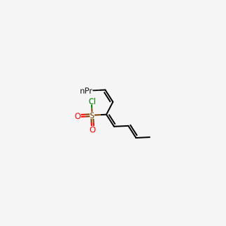 C/C=C/C=C(\C=C/CCC)S(=O)(=O)Cl